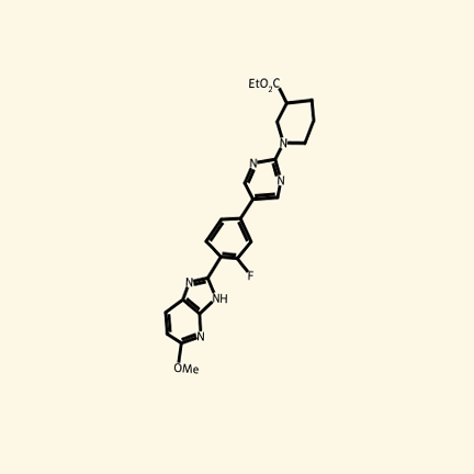 CCOC(=O)C1CCCN(c2ncc(-c3ccc(-c4nc5ccc(OC)nc5[nH]4)c(F)c3)cn2)C1